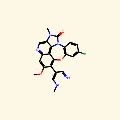 CN/C=C(\C=N)c1c(OC)cc2ncc3c4c2c1oc1cc(F)ccc1n4c(=O)n3C